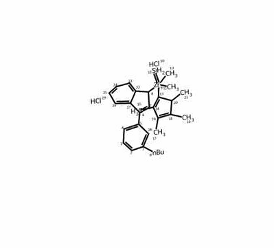 CCCCc1cccc(C2=C[CH]([Zr]([CH3])([CH3])(=[SiH2])[C]3=C(C)C(C)=C(C)C3C)c3ccccc32)c1.Cl.Cl